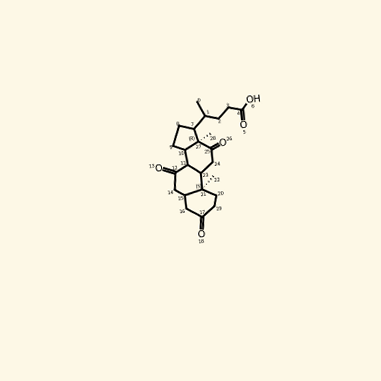 CC(CCC(=O)O)C1CCC2C3C(=O)CC4CC(=O)CC[C@]4(C)C3CC(=O)[C@]12C